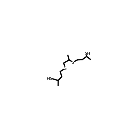 CC(S)CCSCC(C)SCCC(C)S